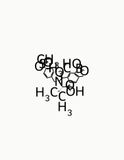 Cc1c(C(=O)N(Cc2ccc(S(C)(=O)=O)cc2)[C@H](C(=O)O)C(C)C)ccc2c1B(O)OC2